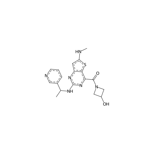 CNc1cc2nc(NC(C)c3cccnc3)nc(C(=O)N3CC(O)C3)c2s1